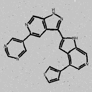 c1ncc(-c2cc3c(-c4cc5c(-c6ccsc6)cncc5[nH]4)n[nH]c3cn2)cn1